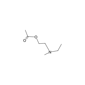 CCN(C)CCOC(C)=O